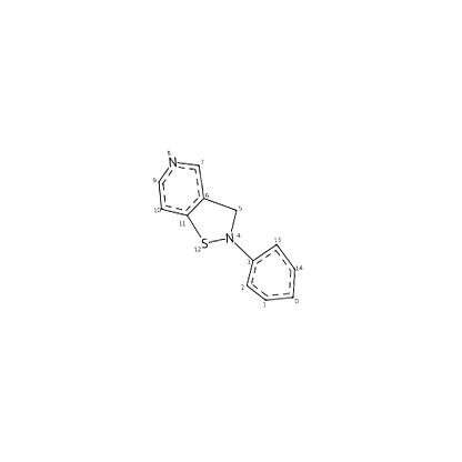 c1ccc(N2Cc3cnccc3S2)cc1